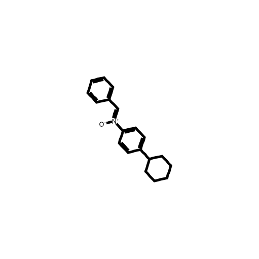 [O-][N+](=Cc1ccccc1)c1ccc(C2CCCCC2)cc1